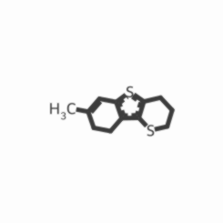 CC1=Cc2sc3c(c2CC1)SCCC3